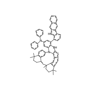 CC1(C)CCC2(C)CC3(C)CCC(C)(C)c4cc5sc6c(c5cc43)N(c3ccc1c2c3)c1cc(N(c2ccccc2)c2ccccc2)cc(-c2cccc3c2[nH]c2cc4ccccc4cc23)c1B6